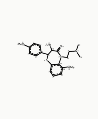 COc1ccc(C2Sc3cccc(OC)c3N(CCN(C)C)C(=O)C2OC(C)=O)cc1